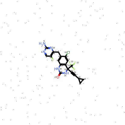 Nc1ncc(F)c(Cc2cc3c(cc2Cl)C(C#CC2CC2)(C(F)(F)F)NC(=O)N3)n1